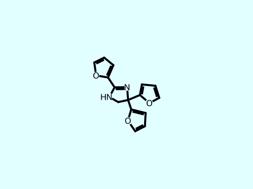 c1coc(C2=NC(c3ccco3)(c3ccco3)CN2)c1